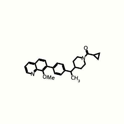 COc1c(-c2ccc(C(C)C3CCN(C(=O)C4CC4)CC3)cc2)ccc2cccnc12